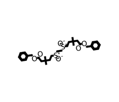 CC(C)(CC[S+]([O-])CC[S+]([O-])CCC(C)(C)CC(=O)OCc1ccccc1)CC(=O)OCc1ccccc1